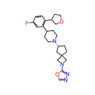 Fc1ccc(C2CCOC2)c(C2CCN([C@@H]3CCC4(C3)CN(c3nnco3)C4)CC2)c1